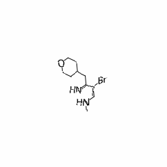 CN/C=C(/Br)C(=N)CC1CCOCC1